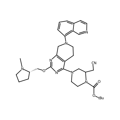 CN1CCC[C@H]1COc1nc2c(c(N3CCN(C(=O)OC(C)(C)C)C(CC#N)C3)n1)CCN(c1cccc3ccncc13)C2